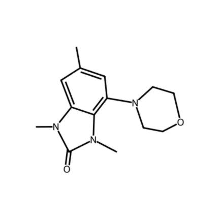 Cc1cc(N2CCOCC2)c2c(c1)n(C)c(=O)n2C